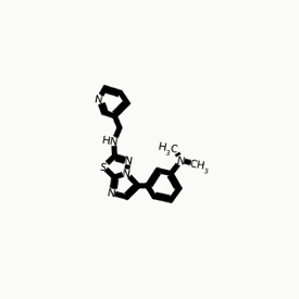 CN(C)c1cccc(-c2cnc3sc(NCc4cccnc4)nn23)c1